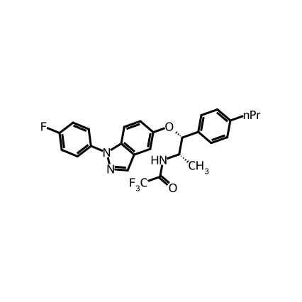 CCCc1ccc([C@@H](Oc2ccc3c(cnn3-c3ccc(F)cc3)c2)[C@H](C)NC(=O)C(F)(F)F)cc1